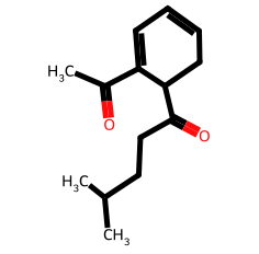 CC(=O)C1=CC=CCC1C(=O)CCC(C)C